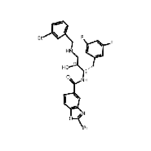 CCc1cccc(CNC[C@H](O)[C@H](Cc2cc(F)cc(F)c2)NC(=O)c2ccc3oc(C(C)C)nc3c2)c1